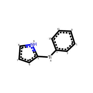 c1cc[c]([Ti][c]2ccc[nH]2)cc1